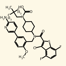 COc1ccc(-c2ccc(N)nc2)cc1CN(C(=O)c1sc2c(F)ccc(F)c2c1Cl)C1CCC(N(CC(C)(C)C)C(=O)O)CC1